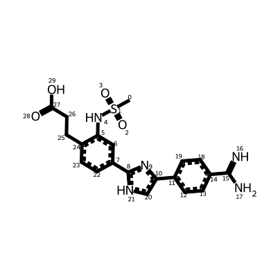 CS(=O)(=O)Nc1cc(-c2nc(-c3ccc(C(=N)N)cc3)c[nH]2)ccc1CCC(=O)O